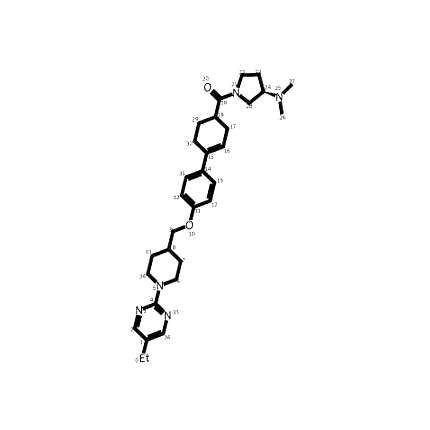 CCc1cnc(N2CCC(COc3ccc(C4=CCC(C(=O)N5CC[C@@H](N(C)C)C5)CC4)cc3)CC2)nc1